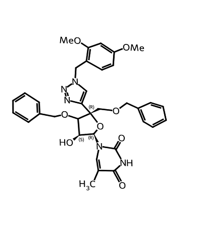 COc1ccc(Cn2cc([C@]3(COCc4ccccc4)O[C@@H](n4cc(C)c(=O)[nH]c4=O)[C@@H](O)C3OCc3ccccc3)nn2)c(OC)c1